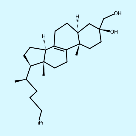 CC(C)CCC[C@@H](C)[C@H]1CC[C@H]2C3=C(CC[C@]12C)[C@@]1(C)CC[C@@](O)(CO)C[C@@H]1CC3